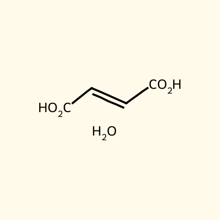 O.O=C(O)C=CC(=O)O